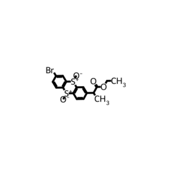 CCOC(=O)C(C)c1ccc2c(c1)[S+]([O-])c1cc(Br)ccc1[S+]2[O-]